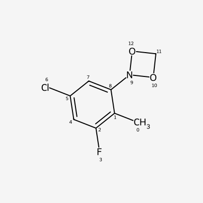 Cc1c(F)cc(Cl)cc1N1OCO1